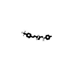 Cc1ccc(NCc2coc(/C=C/c3ccc(C(F)(F)F)cc3)n2)cc1